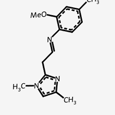 COc1cc(C)ccc1N=CCc1nc(C)cn1C